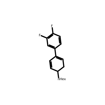 CCCCCCC1C=CC(c2ccc(F)c(F)c2)=CC1